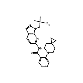 CC(C)(Cn1ncc2ccc(NC(=O)c3ccccc3N3CCC4(CC3)CC4)nc21)C(F)(F)F